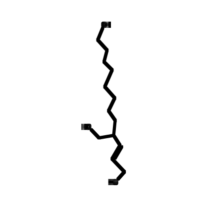 OCC=CC(CO)CCCCCCCCO